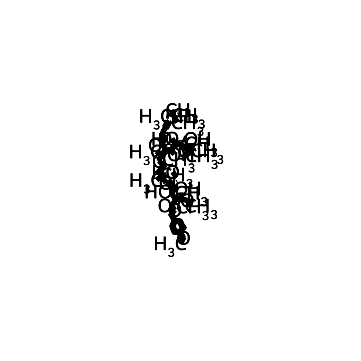 COc1ccc(COC(=O)C(C(O)C(O)[C@@H](CO)OC(C)(C)CCOC(C)(C)C(C(=O)OCC#C[SH](C)(C)(C)C)C(O)C(O)[C@@H](CO)OC(C)(C)C)C(C)(C)OC)cc1